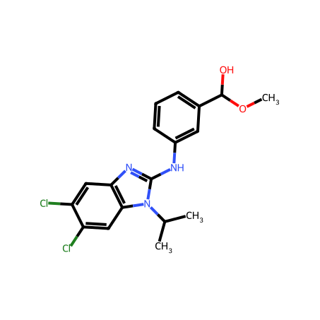 COC(O)c1cccc(Nc2nc3cc(Cl)c(Cl)cc3n2C(C)C)c1